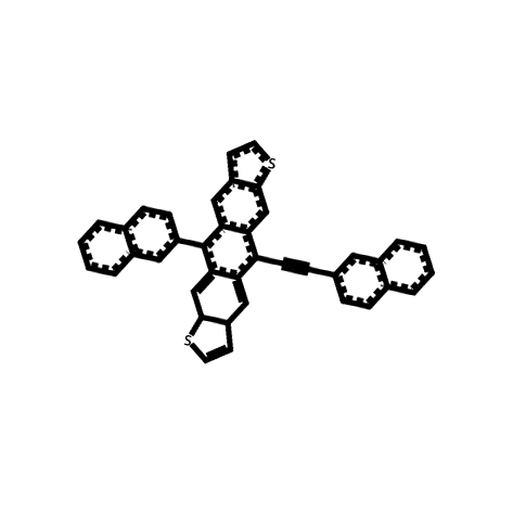 C(#Cc1c2c(c(-c3ccc4ccccc4c3)c3cc4ccsc4cc13)=CC1SC=CC1C=2)c1ccc2ccccc2c1